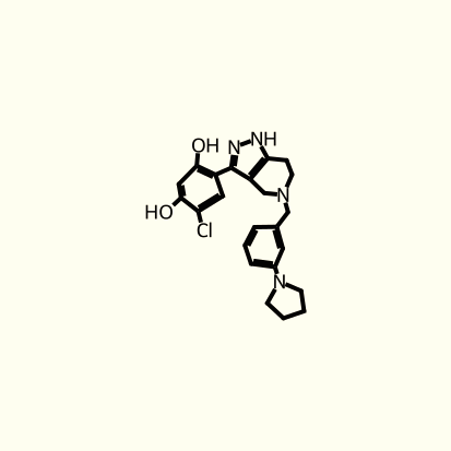 Oc1cc(O)c(-c2n[nH]c3c2CN(Cc2cccc(N4CCCC4)c2)CC3)cc1Cl